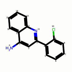 Nc1cc(-c2ccccc2Cl)nc2ccccc12